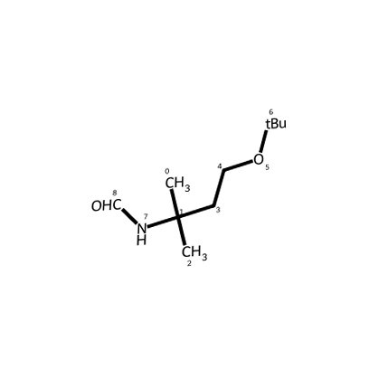 CC(C)(CCOC(C)(C)C)NC=O